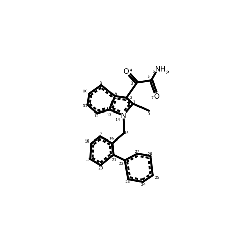 Cc1c(C(=O)C(N)=O)c2[c]cccc2n1Cc1ccccc1-c1ccccc1